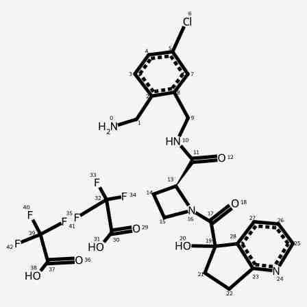 NCc1ccc(Cl)cc1CNC(=O)[C@@H]1CCN1C(=O)C1(O)CCc2ncccc21.O=C(O)C(F)(F)F.O=C(O)C(F)(F)F